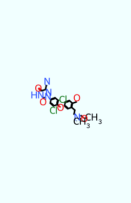 COCN(C)CCc1cc(Oc2c(Cl)cc(-n3nc(C#N)c(=O)[nH]c3=O)cc2Cl)ccc1C=O